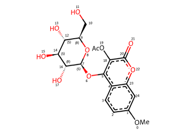 COc1ccc2c(O[C@@H]3O[C@H](CO)[C@@H](O)[C@H](O)[C@H]3O)c(OC(C)=O)c(=O)oc2c1